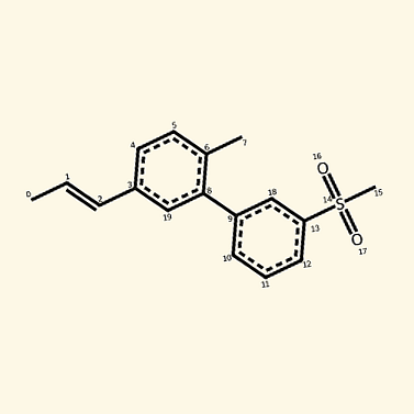 C/C=C/c1ccc(C)c(-c2cccc(S(C)(=O)=O)c2)c1